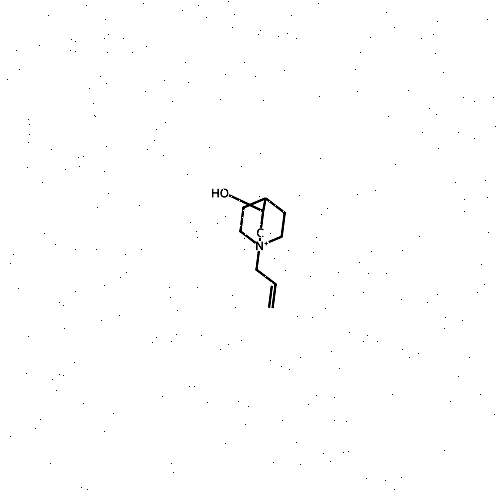 C=CC[N+]12CCC(CC1)C(O)C2